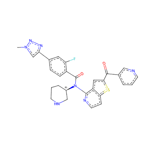 Cn1cc(-c2ccc(C(=O)N(c3nccc4sc(C(=O)c5cccnc5)cc34)[C@@H]3CCCNC3)c(F)c2)nn1